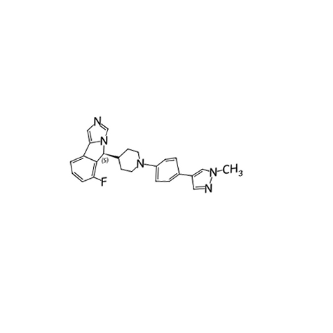 Cn1cc(-c2ccc(N3CCC([C@H]4c5c(F)cccc5-c5cncn54)CC3)cc2)cn1